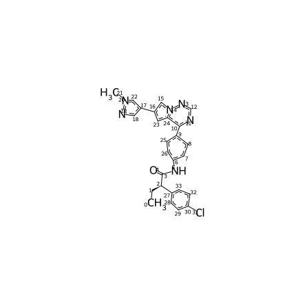 CC[C@@H](C(=O)Nc1ccc(-c2ncnn3cc(-c4cnn(C)c4)cc23)cc1)c1ccc(Cl)cc1